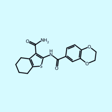 NC(=O)c1c(NC(=O)c2ccc3c(c2)OCCO3)sc2c1CCCC2